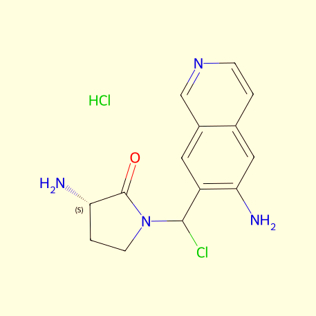 Cl.Nc1cc2ccncc2cc1C(Cl)N1CC[C@H](N)C1=O